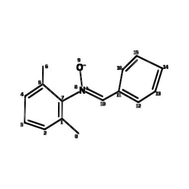 Cc1cccc(C)c1[N+]([O-])=Cc1ccccc1